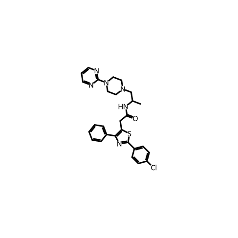 CC(CN1CCN(c2ncccn2)CC1)NC(=O)Cc1sc(-c2ccc(Cl)cc2)nc1-c1ccccc1